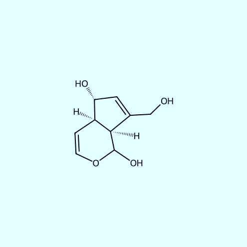 OCC1=C[C@@H](O)[C@@H]2C=COC(O)[C@H]12